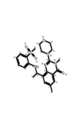 Cc1cc(C(C)Nc2ccccc2S(C)(=O)=O)c2nc(N3CCOCC3)n(C)c(=O)c2c1